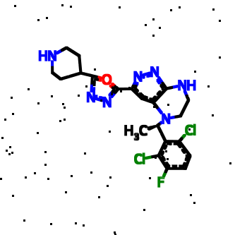 C[C@H](c1c(Cl)ccc(F)c1Cl)N1CCNc2nnc(-c3nnc(C4CCNCC4)o3)cc21